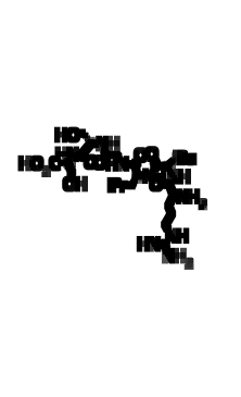 CC[C@H](C)[C@H](NC(=O)[C@@H](N)CCCNC(=N)N)C(=O)N[C@@H](CC(C)C)C(=O)NCC(=O)N[C@@H](CO)C(=O)N[C@@H](CO)C(=O)O